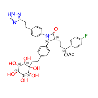 CC(=O)O[C@@H](CC[C@H]1C(=O)N(c2ccc(CCc3nc[nH]n3)cc2)[C@@H]1c1ccc(CCC2(O)[C@H](O)[C@@H](O)[C@H](O)[C@@H](O)[C@@H]2O)cc1)c1ccc(F)cc1